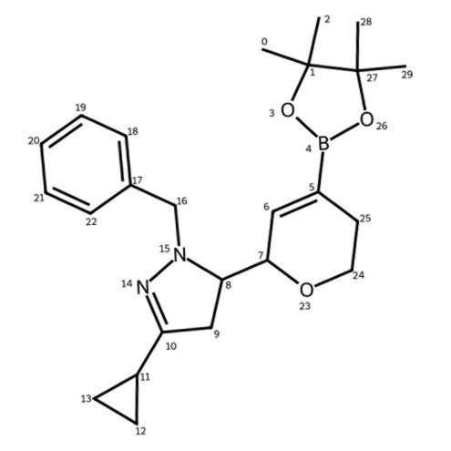 CC1(C)OB(C2=CC(C3CC(C4CC4)=NN3Cc3ccccc3)OCC2)OC1(C)C